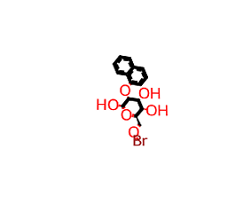 O[C@H]1[C@H](O)[C@@H](COBr)O[C@@H](O)[C@@H]1Oc1cccc2ccccc12